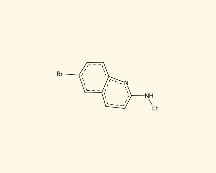 CCNc1ccc2cc(Br)ccc2n1